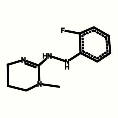 CN1CCCN=C1NNc1ccccc1F